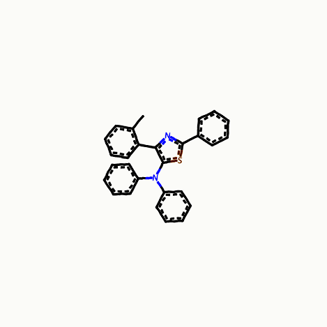 Cc1ccccc1-c1nc(-c2ccccc2)sc1N(c1ccccc1)c1ccccc1